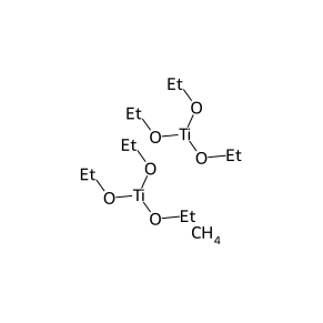 C.CC[O][Ti]([O]CC)[O]CC.CC[O][Ti]([O]CC)[O]CC